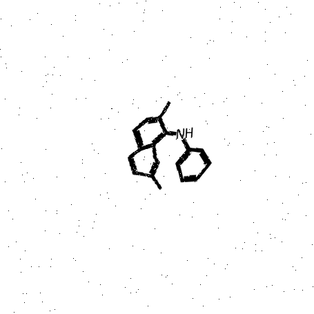 Cc1ccc2ccc(C)c(Nc3ccccc3)c2c1